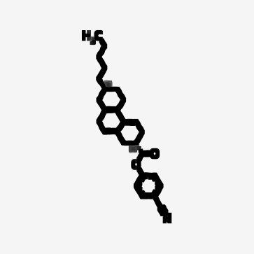 CCCCC[C@H]1CCC2=C(CC=C3C[C@@H](C(=O)Oc4ccc(C#N)cc4)CC=C32)C1